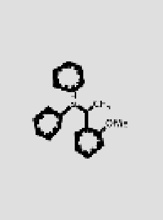 COc1ccccc1[C@H](C)[SiH](c1ccccc1)c1ccccc1